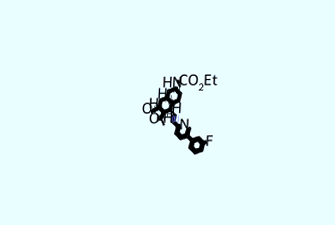 CCOC(=O)N[C@@H]1CC[C@H]2[C@H](C1)C[C@@H]1C(=O)O[C@H](C)[C@@H]1[C@@H]2/C=C/c1ccc(-c2cccc(F)c2)cn1